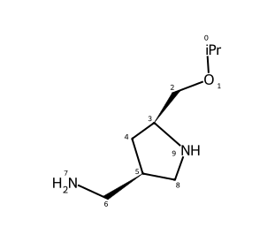 CC(C)OC[C@@H]1C[C@H](CN)CN1